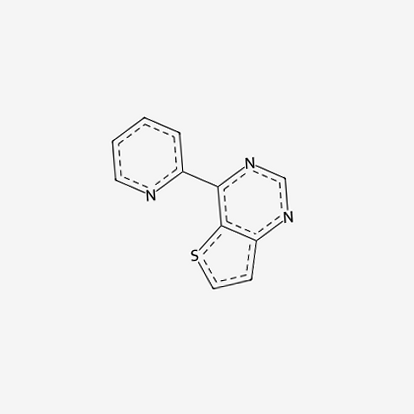 c1ccc(-c2ncnc3ccsc23)nc1